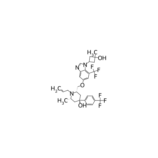 C=CCN1[C@H](COc2cc(C(F)(F)F)c3c(c2)ncn3C2CC(C)(O)C2)C[C@](O)(c2ccc(C(F)(F)F)cc2)C[C@@H]1C